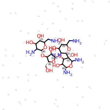 NCC1O[C@H](OC2C(O)[C@H](OC3C(O)[C@H](N)OC(N)[C@]3(O)[C@H]3OC(CN)[C@@H](O)C(O)C3N)O[C@@H]2CO)C(N)C(O)[C@@H]1O